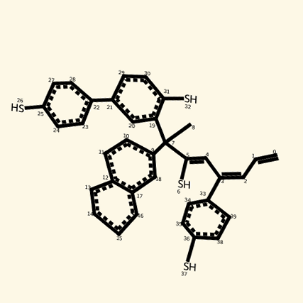 C=C/C=C(\C=C(/S)C(C)(c1ccc2ccccc2c1)c1cc(-c2ccc(S)cc2)ccc1S)c1ccc(S)cc1